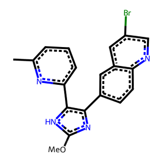 COc1nc(-c2ccc3ncc(Br)cc3c2)c(-c2cccc(C)n2)[nH]1